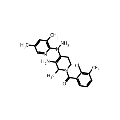 Cc1cnc(N(N)C2=C(N)C(C)N(C(=O)c3cccc(C(F)(F)F)c3Cl)CC2)c(C)c1